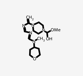 C=C(/N=C\N=C\N(C)C1CCOCC1)N1CCN(C(O)OC)CC1